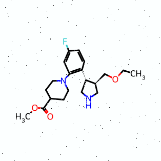 CCOC[C@H]1CNC[C@@H]1c1ccc(F)cc1N1CCC(C(=O)OC)CC1